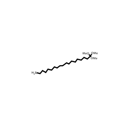 COC(CCCCCCCCCCCCCCCCC[SiH3])(OC)OC